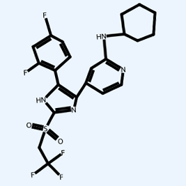 O=S(=O)(CC(F)(F)F)c1nc(-c2ccnc(NC3CCCCC3)c2)c(-c2ccc(F)cc2F)[nH]1